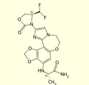 C[C@H](Nc1cc2c(c3c1OCO3)-c1nc(N3C(=O)OC[C@H]3C(F)F)cn1CCO2)C(N)=O